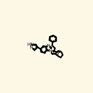 O=C(CCc1ccccc1)N1C2CCC1C(Cn1cnc3cc(-c4cn[nH]c4)ccc31)C2